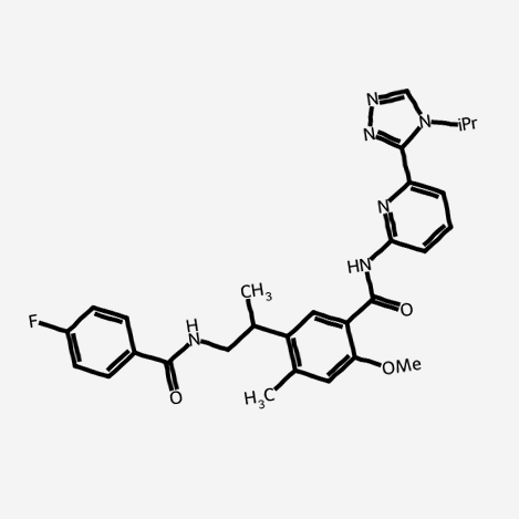 COc1cc(C)c(C(C)CNC(=O)c2ccc(F)cc2)cc1C(=O)Nc1cccc(-c2nncn2C(C)C)n1